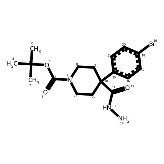 CC(C)(C)OC(=O)N1CCC(C(=O)NN)(c2ccc(Br)cc2)CC1